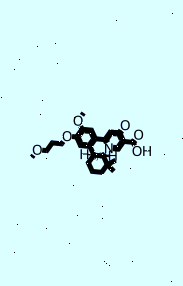 COCCCOc1cc2c(cc1OC)-c1cc(=O)c(C(=O)O)cn1[C@H]1[C@H]2CCCC1(C)C